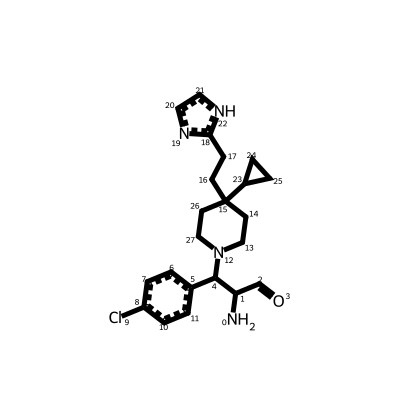 NC(C=O)C(c1ccc(Cl)cc1)N1CCC(CCc2ncc[nH]2)(C2CC2)CC1